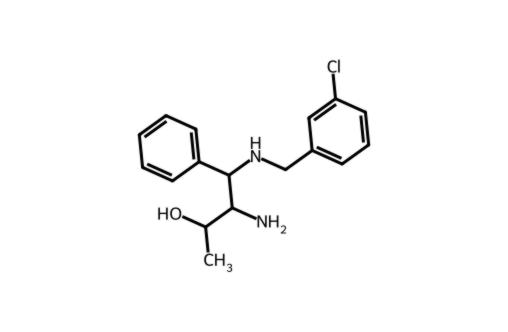 CC(O)C(N)C(NCc1cccc(Cl)c1)c1ccccc1